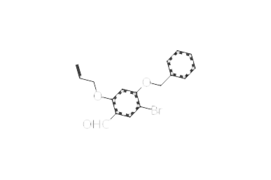 C=CCOc1cc(OCc2ccccc2)c(Br)cc1C=O